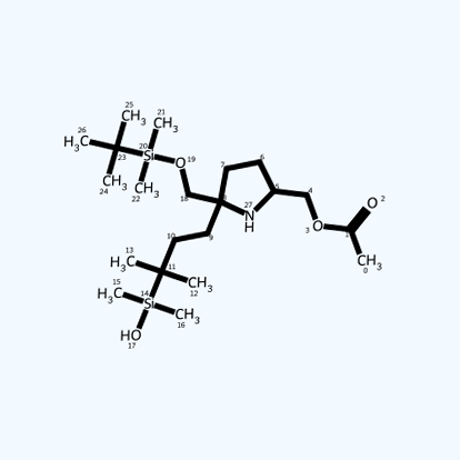 CC(=O)OCC1CCC(CCC(C)(C)[Si](C)(C)O)(CO[Si](C)(C)C(C)(C)C)N1